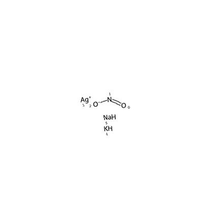 O=N[O-].[Ag+].[KH].[NaH]